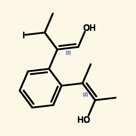 C/C(O)=C(\C)c1ccccc1/C(=C/O)C(C)I